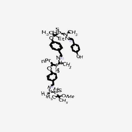 CCCC(Oc1ccc(/C=N/N(C)[PH](=S)C(C)(C)OC)cc1)[PH](=S)N(C)/N=C/c1ccc(O[C@@](C)(CC)[PH](=S)N(C)/N=C/c2ccc(O)cc2)cc1